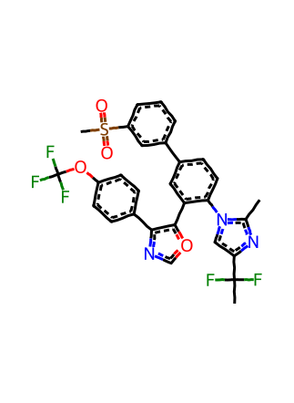 Cc1nc(C(C)(F)F)cn1-c1ccc(-c2cccc(S(C)(=O)=O)c2)cc1-c1ocnc1-c1ccc(OC(F)(F)F)cc1